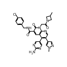 CC1CN(C(=O)Cn2c(=O)c(C(=O)NCc3ccc(Cl)cc3)cc3c(-c4cnc(N)nc4)c(-c4cnn(C)c4)cnc32)C1